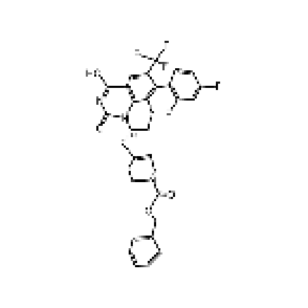 O=C(OCc1ccccc1)N1CC=C(C[C@H]2CSc3c(-c4ccc(F)cc4F)c(C(F)(F)F)cc4c(O)nc(=O)n2c34)CC1